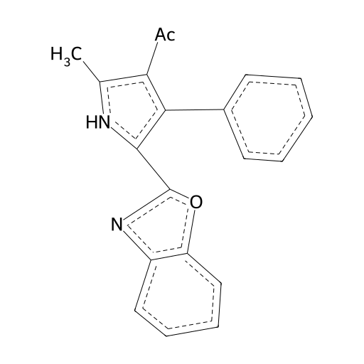 CC(=O)c1c(C)[nH]c(-c2nc3ccccc3o2)c1-c1ccccc1